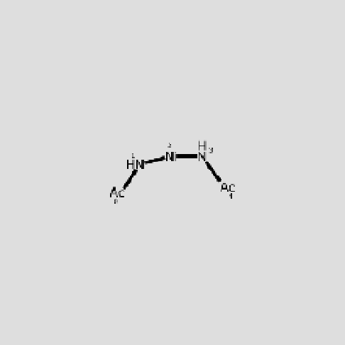 CC(=O)[NH][Ni][NH]C(C)=O